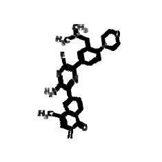 Cc1c[nH]c(=O)c2ccc(-c3nc(-c4ccc(N5CCOCC5)c(CN(C)C)c4)c(F)nc3N)cc12